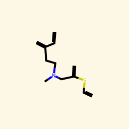 C=CSC(=C)CN(C)CCC(=C)C=C